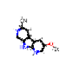 CCOc1cnc2[nH]c3cnc(C#N)cc3c2c1